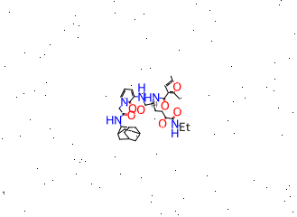 CCNC(=O)C(=O)CC[C@H](NC(=O)c1cc(C)oc1C)C(=O)Nc1cccn(CC(=O)NC2C3CC4CC(C3)CC2C4)c1=O